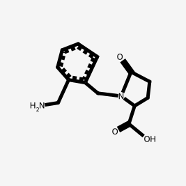 NCc1ccccc1CN1C(=O)CCC1C(=O)O